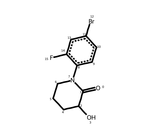 O=C1C(O)CCCN1c1ccc(Br)cc1F